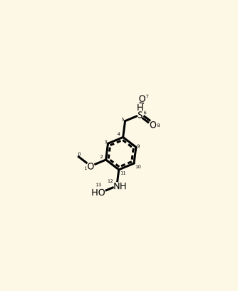 COc1cc(C[SH](=O)=O)ccc1NO